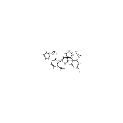 CSc1ccc(-n2cncc2C(F)(F)F)cc1C1=C[C@@]2(CC[C@H](CO)[C@H]2c2ccc(F)cc2)OC1